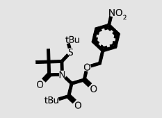 CC(C)(C)SC1N(C(C(=O)OCc2ccc([N+](=O)[O-])cc2)C(=O)C(C)(C)C)C(=O)C1(C)C